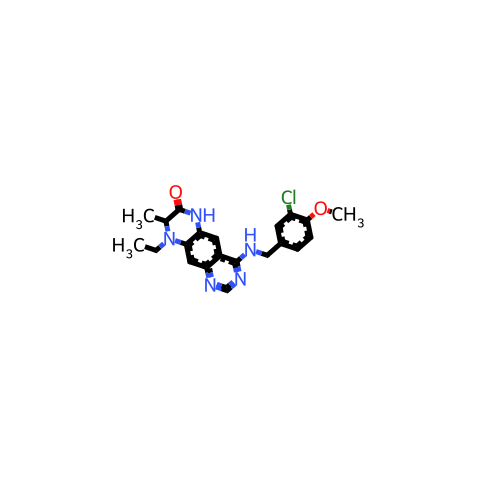 CCN1c2cc3ncnc(NCc4ccc(OC)c(Cl)c4)c3cc2NC(=O)C1C